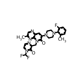 Cc1cnc2cc(N3CCN(c4c(C)cccc4F)CC3)c(=O)n(Cc3nccn(C(F)F)c3=O)c2n1